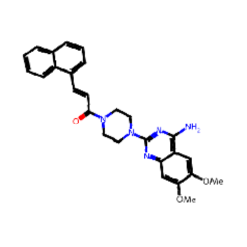 COc1cc2nc(N3CCN(C(=O)C=Cc4cccc5ccccc45)CC3)nc(N)c2cc1OC